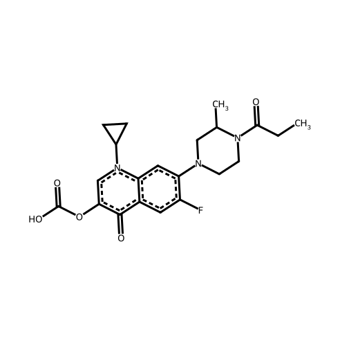 CCC(=O)N1CCN(c2cc3c(cc2F)c(=O)c(OC(=O)O)cn3C2CC2)CC1C